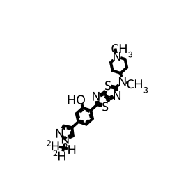 [2H]C([2H])([2H])n1cc(-c2ccc(-c3nc4sc(N(C)C5CCN(C)CC5)nc4s3)c(O)c2)cn1